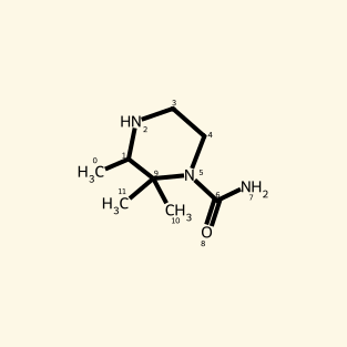 CC1NCCN(C(N)=O)C1(C)C